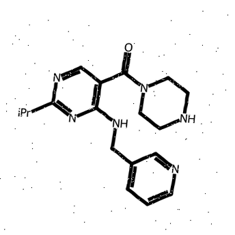 CC(C)c1ncc(C(=O)N2CCNCC2)c(NCc2cccnc2)n1